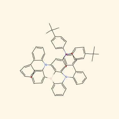 CC(C)(C)c1ccc(N(c2ccc(C(C)(C)C)cc2)c2cc3c4c(c2)N(c2ccccc2-c2ccccc2)c2ccccc2B4c2ccccc2N3c2ccccc2-c2ccccc2)cc1